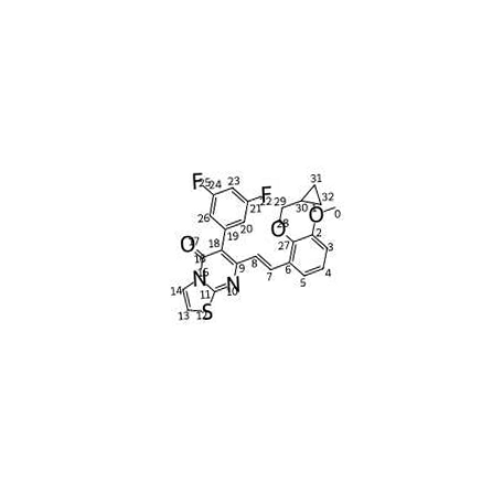 COc1cccc(C=Cc2nc3sccn3c(=O)c2-c2cc(F)cc(F)c2)c1OCC1CC1